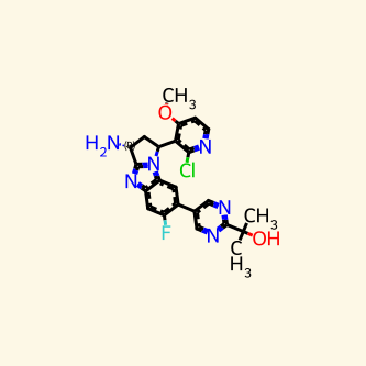 COc1ccnc(Cl)c1C1C[C@@H](N)c2nc3cc(F)c(-c4cnc(C(C)(C)O)nc4)cc3n21